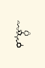 COCCOc1nc(N2CCOCC2)cc(N(C)/N=C/c2cccc(C)c2)n1